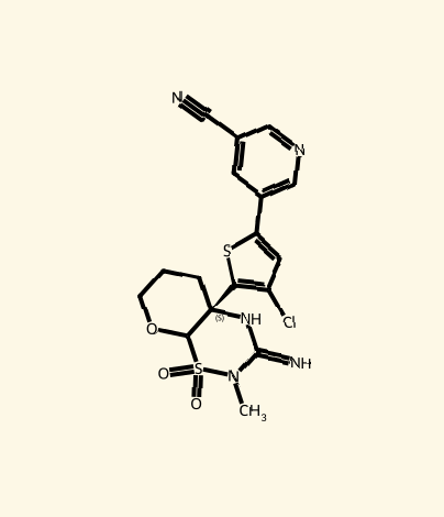 CN1C(=N)N[C@@]2(c3sc(-c4cncc(C#N)c4)cc3Cl)CCCOC2S1(=O)=O